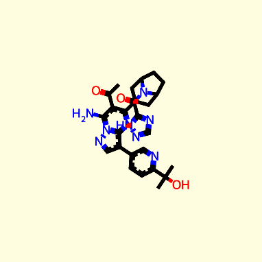 CC(=O)c1c(C2CC3CCC(C2)N3C(=O)c2ncn[nH]2)nc2c(-c3ccc(C(C)(C)O)nc3)cnn2c1N